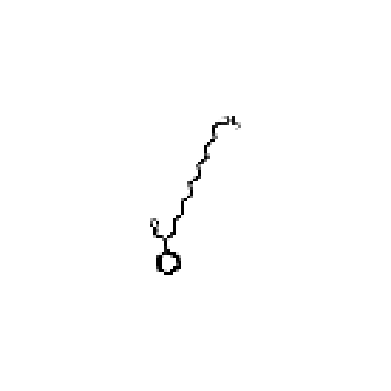 CCCCCCCCCCCCCC(C=O)c1ccccc1